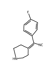 [C-]#[N+]C(=C1CCNCC1)c1ccc(F)cc1